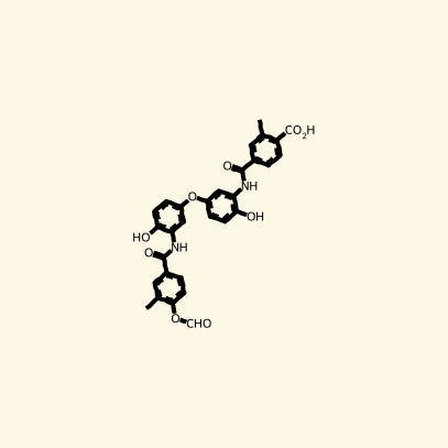 Cc1cc(C(=O)Nc2cc(Oc3ccc(O)c(NC(=O)c4ccc(C(=O)O)c(C)c4)c3)ccc2O)ccc1OC=O